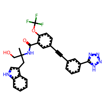 CC(CO)(Cc1c[nH]c2ccccc12)NC(=O)c1cc(C#Cc2cccc(-c3nnn[nH]3)c2)ccc1OC(F)(F)F